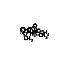 CCOc1ncccc1-c1cc([C@@H]2CCCN2C(=O)OC(C)(C)C)on1